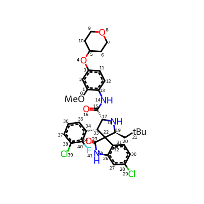 COc1cc(OC2CCOCC2)ccc1NC(=O)[C@@H]1N[C@@H](CC(C)(C)C)C2(C(=O)Nc3cc(Cl)ccc32)[C@@H]1c1cccc(Cl)c1F